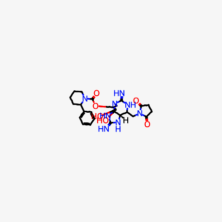 N=C1N[C@H]2C(CN3C(=O)CCC3=O)NC(=N)N3CC(OC(=O)N4CCCCC4c4ccccc4)C(O)(O)[C@]23N1